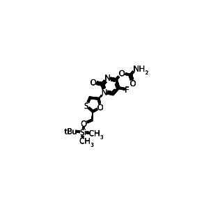 CC(C)(C)[Si](C)(C)OC[C@@H]1O[C@H](n2cc(F)c(OC(N)=O)nc2=O)CS1